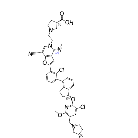 C/N=c1/c2cc(-c3cccc(-c4cccc5c4CC[C@@H]5Oc4nc(OC)c(CN5CC[C@@H](O)C5)cc4Cl)c3Cl)oc2c(C#N)cn1CCN1CC[C@@H](C(=O)O)C1